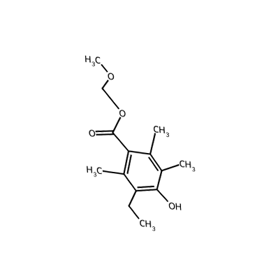 CCc1c(C)c(C(=O)OCOC)c(C)c(C)c1O